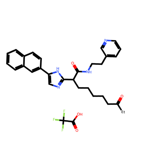 CCC(=O)CCCCCC(C(=O)NCCc1cccnc1)c1ncc(-c2ccc3ccccc3c2)[nH]1.O=C(O)C(F)(F)F